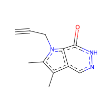 C#CCn1c(C)c(C)c2cn[nH]c(=O)c21